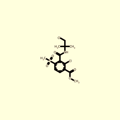 COC(=O)c1ccc(S(C)(=O)=O)c(C(=O)NC(C)(C)CCl)c1Cl